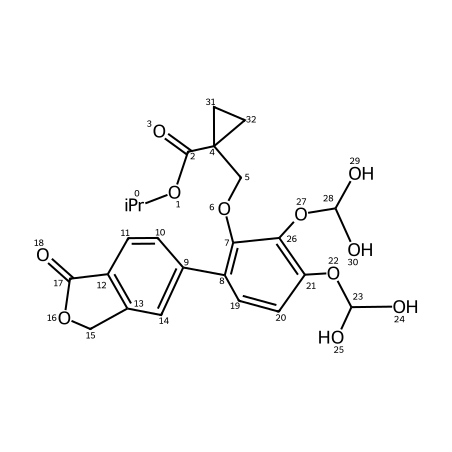 CC(C)OC(=O)C1(COc2c(-c3ccc4c(c3)COC4=O)ccc(OC(O)O)c2OC(O)O)CC1